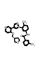 Cc1ccc(NC(=O)c2cccc(C(F)(F)F)c2)cc1-n1cc(-c2cnccc2OC[C@H]2CCOC2)cn1